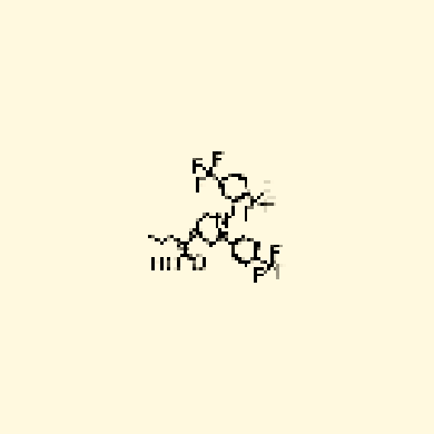 CCC[C@H](C(=O)O)[C@H]1CCN(Cc2cc(C(F)(F)F)ccc2C(F)(F)F)[C@@H](c2ccc(C(F)(F)F)cc2)C1